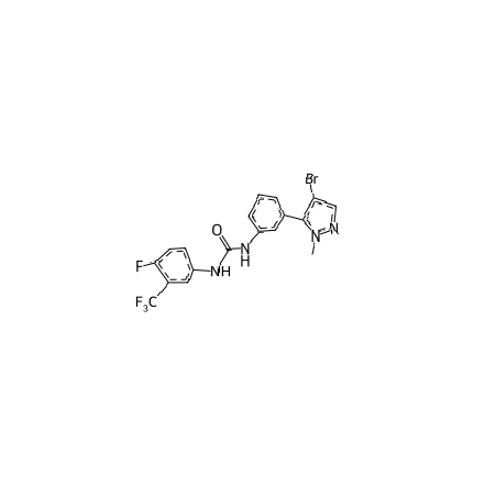 Cn1ncc(Br)c1-c1cccc(NC(=O)Nc2ccc(F)c(C(F)(F)F)c2)c1